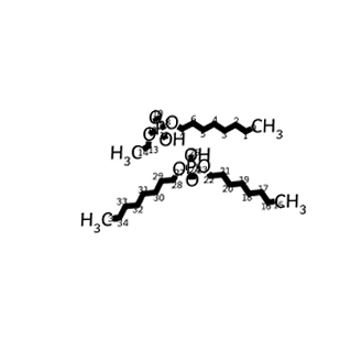 CCCCCCCCOP(=O)(O)OCC.CCCCCCCCOP(=O)(O)OCCCCCCCC